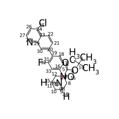 CC(C)(C)OC(=O)N1C[C@H]2C[C@@H](C1)N2C(=O)c1ccc(-c2ccc3c(Cl)ccnc3c2)c(F)c1